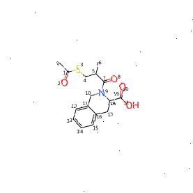 CC(=O)SCC(C)C(=O)N1Cc2ccccc2CC1C(=O)O